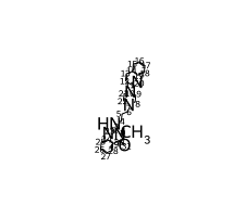 Cn1c(NCCCN2CCN(c3ccc4ccccc4n3)CC2)nc2ccccc2c1=O